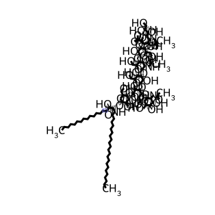 CCCCCCCCCCCCC/C=C/[C@@H](O)[C@H](CO[C@@H]1OC(CO)[C@@H](O[C@@H]2OC(CO)[C@H](O[C@@H]3OC(CO)[C@H](O)[C@H](O)C3NC(C)=O)[C@H](O[C@H]3OC(CO)[C@H](O)[C@H](O[C@@H]4OC(CO)[C@@H](O[C@@H]5OC(CO)[C@H](O)[C@H](O[C@]6(C(=O)O)CC(O)[C@@H](NC(C)=O)C([C@H](O)[C@H](O)CO)O6)C5O)[C@H](O)C4NC(C)=O)C3O)C2O)[C@H](O)C1O)NC(=O)CCCCCCCCCCCCCCCCCCCCC